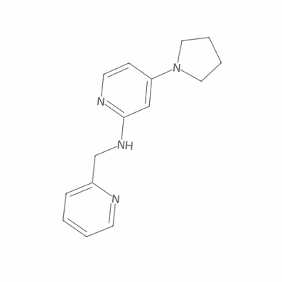 c1ccc(CNc2cc(N3CCCC3)ccn2)nc1